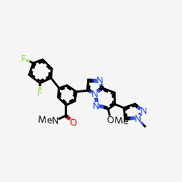 CNC(=O)c1cc(-c2ccc(F)cc2F)cc(-c2cnc3cc(-c4cnn(C)c4)c(OC)nn23)c1